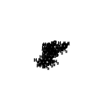 Bc1c(B)c(-c2c(B)c(B)c(C(F)(F)F)c(B)c2B)c(B)c(B)c1CN(C(=O)C(B)(B)n1c(SC(B)(B)c2ccc(F)cc2)nc(=O)c2c1C(B)(B)C(B)(B)C2(B)B)C(B)(B)C(B)(B)N(CC)CC